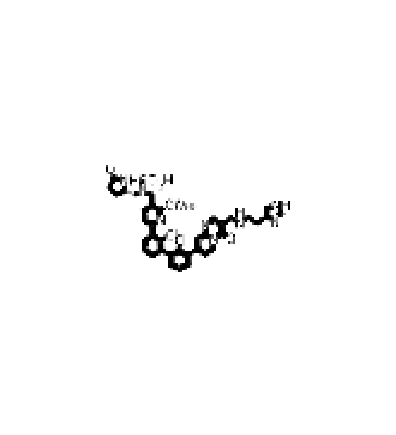 COc1nc(-c2cccc(-c3cccc(-c4ccn5c(=O)c(CNCCc6c[nH]cn6)cnc5c4)c3Cl)c2Cl)ccc1CN(C[C@@H]1CCC(=O)N1)C(=O)O